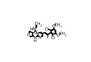 C=CNO[C@@H]1COCC1Nc1ncc(/C=C(\F)c2c(Cl)c(OC)cc(OC)c2Cl)cn1